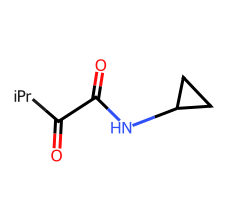 CC(C)C(=O)C(=O)NC1CC1